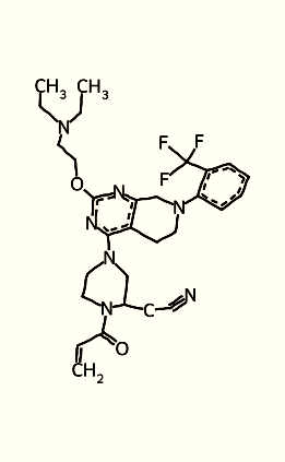 C=CC(=O)N1CCN(c2nc(OCCN(CC)CC)nc3c2CCN(c2ccccc2C(F)(F)F)C3)CC1CC#N